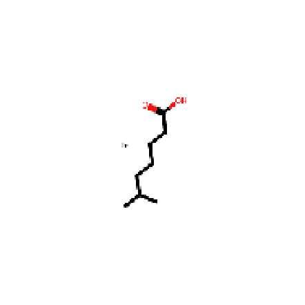 CC(C)CCCCC(=O)O.[Tb]